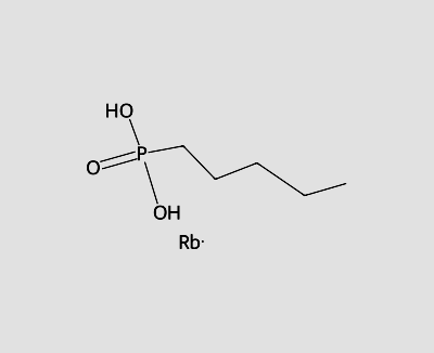 CCCCCP(=O)(O)O.[Rb]